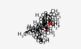 C/C=C/C[C@@H](C)[C@@H](O)[C@@H](C(=O)N[C@H](C(=O)N(C)CC(=O)O)[C@@H](C)O)N(C)C(=O)[C@H](C(C)C)N(C)C(=O)[C@H](CC(C)C)NC(=O)[C@H](CC(C)C)N(C)C(=O)[C@@H](C)NC(=O)[C@H](C)NC(=O)[C@H](CC(C)C)N(C)C(=O)[C@@H](N)CC(C)C